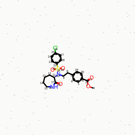 COC(=O)c1ccc(CCN([C@@H]2CCCCNC2=O)S(=O)(=O)c2ccc(Cl)cc2)cc1